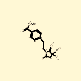 COC(=O)c1ccc(CCN2C(=O)C(F)(F)CC2C)cc1